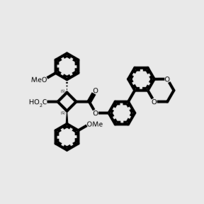 COc1ccccc1[C@H]1C(C(=O)O)[C@H](c2ccccc2OC)C1C(=O)Oc1cccc(-c2cccc3c2OCCO3)c1